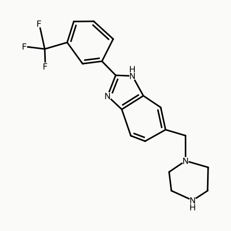 FC(F)(F)c1cccc(-c2nc3ccc(CN4CCNCC4)cc3[nH]2)c1